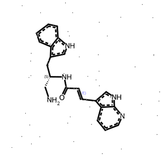 NC[C@H](Cc1c[nH]c2ccccc12)NC(=O)/C=C/c1c[nH]c2ncccc12